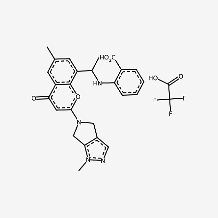 Cc1cc(C(C)Nc2ccccc2C(=O)O)c2oc(N3Cc4cnn(C)c4C3)cc(=O)c2c1.O=C(O)C(F)(F)F